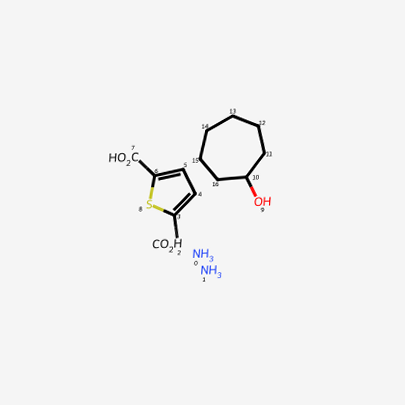 N.N.O=C(O)c1ccc(C(=O)O)s1.OC1CCCCCC1